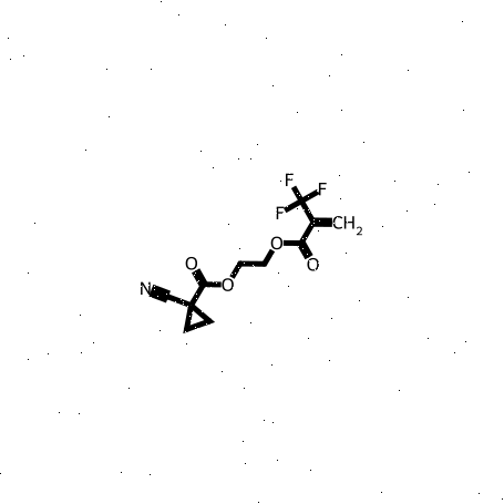 C=C(C(=O)OCCOC(=O)C1(C#N)CC1)C(F)(F)F